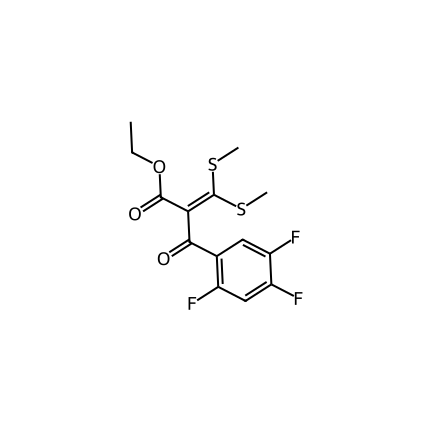 CCOC(=O)C(C(=O)c1cc(F)c(F)cc1F)=C(SC)SC